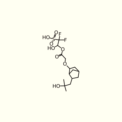 CC(C)(O)CC1CC2CC(OCC(=O)OC(O)C(F)(F)S(=O)(=O)O)C1C2